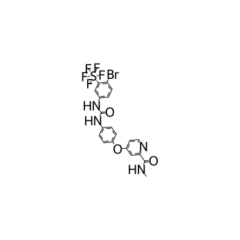 CNC(=O)c1cc(Oc2ccc(NC(=O)Nc3ccc(Br)c(S(F)(F)(F)(F)F)c3)cc2)ccn1